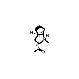 CC(=O)[C@@H]1C[C@H]2C#CC[C@H]2N1C